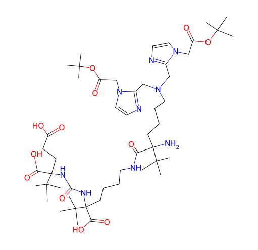 CC(C)(C)OC(=O)Cn1ccnc1CN(CCCCC(N)(C(=O)NCCCCC(NC(=O)NC(CCC(=O)O)(C(=O)O)C(C)(C)C)(C(=O)O)C(C)(C)C)C(C)(C)C)Cc1nccn1CC(=O)OC(C)(C)C